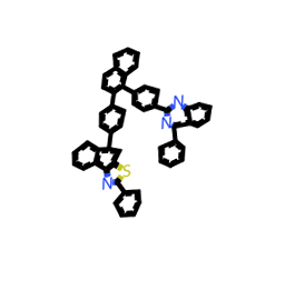 c1ccc(-c2nc3c(cc(-c4ccc(-c5ccc6ccccc6c5-c5ccc(-c6nc(-c7ccccc7)c7ccccc7n6)cc5)cc4)c4ccccc43)s2)cc1